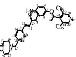 CC(Oc1ccc2c(c1)CC(/C=C/c1ccc(CN3CCOCC3)nn1)=NN2)c1c(Cl)cncc1Cl